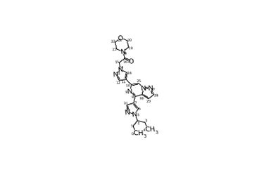 CCC(CC)n1cc(-c2nc(-c3cnn(CC(=O)N4CCOCC4)c3)cn3nccc23)cn1